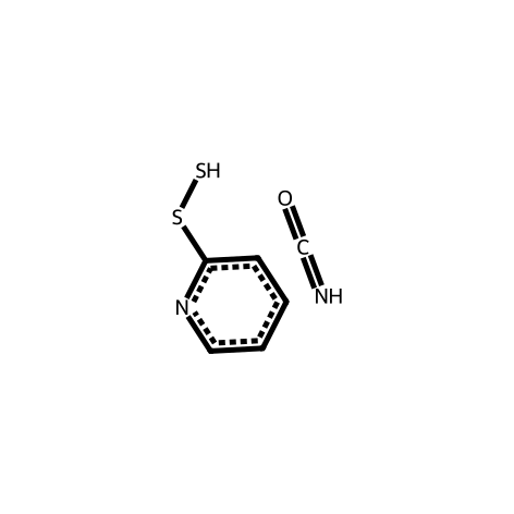 N=C=O.SSc1ccccn1